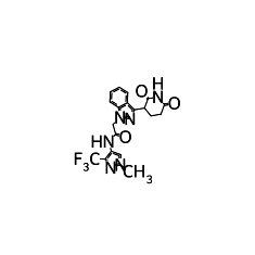 Cn1cc(NC(=O)Cn2nc(C3CCC(=O)NC3=O)c3ccccc32)c(C(F)(F)F)n1